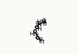 CCOc1cccc([C@@H](C)N[C@H]2CCC(c3ccc(C(=O)NCCNS(C)(=O)=O)cc3)C2)c1